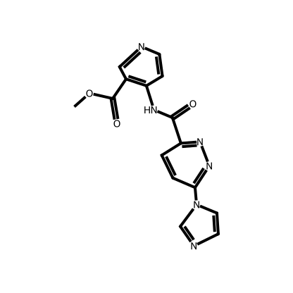 COC(=O)c1cnccc1NC(=O)c1ccc(-n2ccnc2)nn1